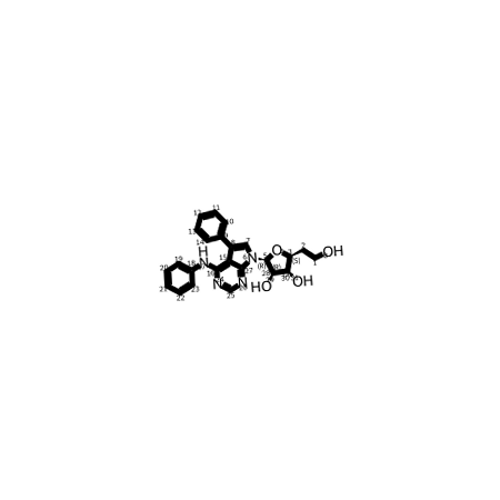 OCC[C@@H]1O[C@@H](n2cc(-c3ccccc3)c3c(Nc4ccccc4)ncnc32)[C@H](O)[C@@H]1O